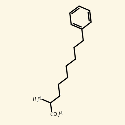 NC(CCCCCCCc1ccccc1)C(=O)O